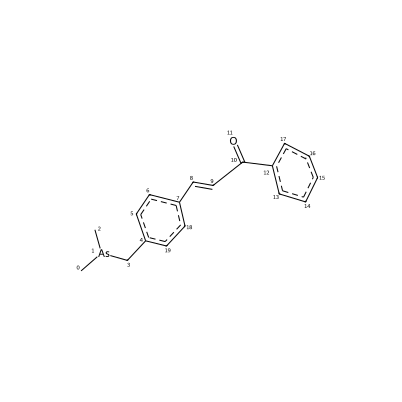 C[As](C)Cc1ccc(C=CC(=O)c2ccccc2)cc1